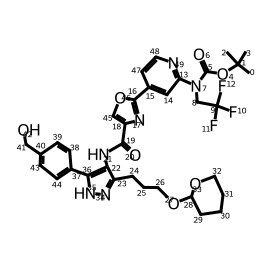 CC(C)(C)OC(=O)N(CC(F)(F)F)c1cc(-c2nc(C(=O)Nc3c(CCCOC4CCCCO4)n[nH]c3-c3ccc(CO)cc3)co2)ccn1